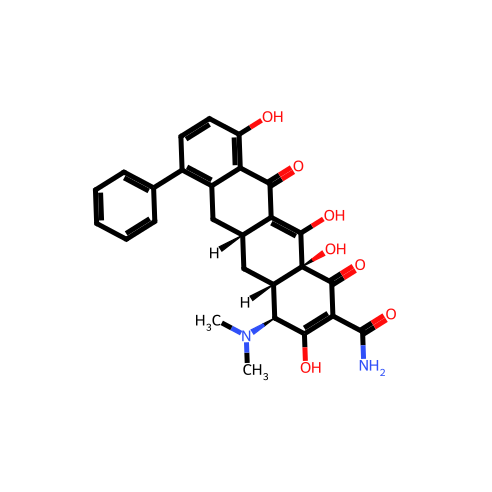 CN(C)[C@@H]1C(O)=C(C(N)=O)C(=O)[C@@]2(O)C(O)=C3C(=O)c4c(O)ccc(-c5ccccc5)c4C[C@H]3C[C@@H]12